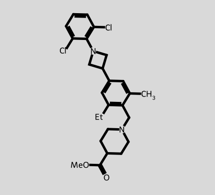 CCc1cc(C2CN(c3c(Cl)cccc3Cl)C2)cc(C)c1CN1CCC(C(=O)OC)CC1